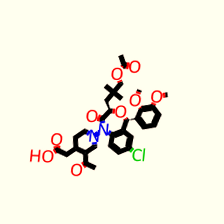 COc1cccc([C@H]2O[C@H](CC(C)(C)COC(C)=O)C(=O)N(N3CCC(CC(=O)O)C(C(C)=O)C3)c3ccc(Cl)cc32)c1OC